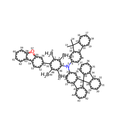 Bc1c(B)c(N(c2ccc3c(c2)C(C)(C)c2ccccc2-3)c2ccc3c(c2)C2(c4ccccc4-c4ccccc42)c2ccccc2-3)c(B)c(B)c1-c1ccc2c(c1)oc1ccccc12